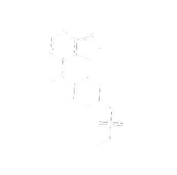 CCS(=O)(=O)NC1CCC(N(C)c2ncnc3[nH]ccc23)CC1